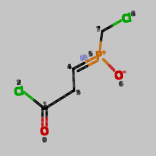 O=C(Cl)C/C=[P+](\[O-])CCl